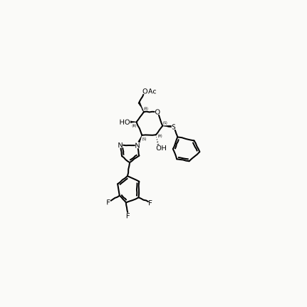 CC(=O)OC[C@H]1O[C@@H](Sc2ccccc2)[C@H](O)[C@@H](n2cc(-c3cc(F)c(F)c(F)c3)cn2)[C@H]1O